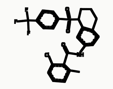 Cc1cccc(Cl)c1C(=O)Nc1ccc2c(c1)C(S(=O)(=O)c1ccc(C(F)(F)F)cc1)CCC2